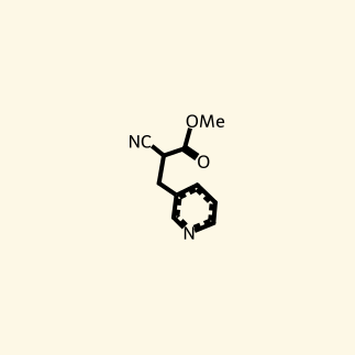 COC(=O)C(C#N)Cc1cccnc1